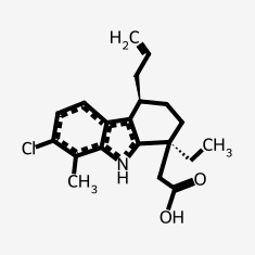 C=CC[C@H]1CC[C@@](CC)(CC(=O)O)c2[nH]c3c(C)c(Cl)ccc3c21